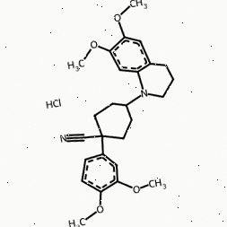 COc1ccc(C2(C#N)CCC(N3CCCc4cc(OC)c(OC)cc43)CC2)cc1OC.Cl